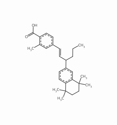 CCCC(C=Cc1ccc(C(=O)O)c(C)c1)c1ccc2c(c1)C(C)(C)CCC2(C)C